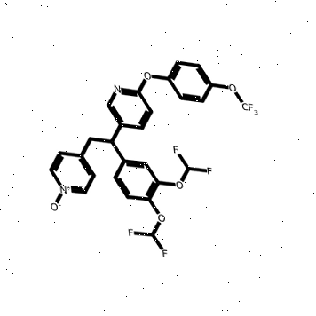 [O-][n+]1ccc(CC(c2ccc(Oc3ccc(OC(F)(F)F)cc3)nc2)c2ccc(OC(F)F)c(OC(F)F)c2)cc1